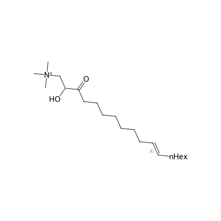 CCCCCC/C=C/CCCCCCCC(=O)C(O)C[N+](C)(C)C